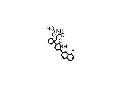 O=C1NC(O)OC1CC1(c2ccc(-c3ccc4cccc(F)c4c3)[nH]c2=O)CCCC1